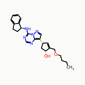 CCCCOCC1=C[C@@H](c2cnn3c(N[C@H]4CCc5ccccc54)ncnc23)C[C@H]1O